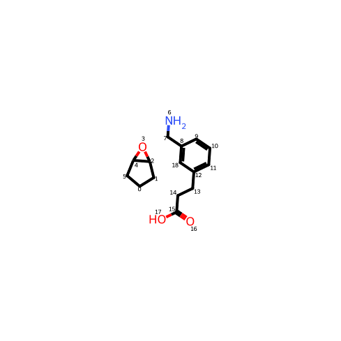 C1CC2OC2C1.NCc1cccc(CCC(=O)O)c1